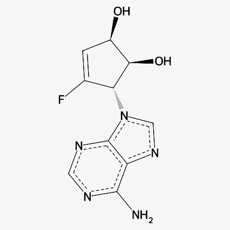 Nc1ncnc2c1ncn2[C@@H]1C(F)=C[C@@H](O)[C@H]1O